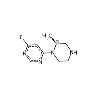 C[C@H]1CNCCN1c1cc(F)ncn1